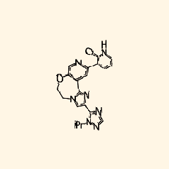 CC(C)n1ncnc1-c1cn2c(n1)-c1cc(-c3ccc[nH]c3=O)ncc1OCC2